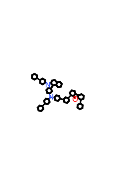 c1ccc(-c2ccc(N(c3ccc(-c4cccc(-c5cccc6c5oc5c(-c7ccccc7)cccc56)c4)cc3)c3ccc4c(c3)c3c5ccccc5ccc3n4-c3ccc(-c4ccccc4)cc3)cc2)cc1